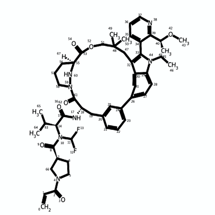 C=CC(=O)N1CC[C@H](C(=O)N(C(F)F)[C@H](C(=O)N[C@H]2Cc3cccc(c3)-c3ccc4c(c3)c(c(-c3cccnc3[C@H](C)OC)n4CC)CC(C)(C)COC(=O)[C@@H]3CCCN(N3)C2=O)C(C)C)C1